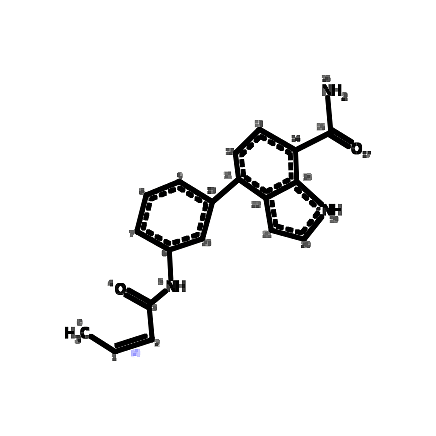 C/C=C\C(=O)Nc1cccc(-c2ccc(C(N)=O)c3[nH]ccc23)c1